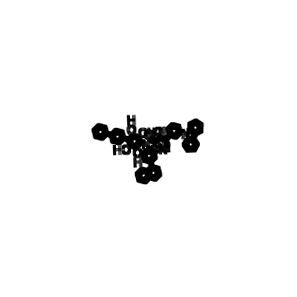 O=NC/C(=C(O)\C(O)=C(/O)N(c1ccc(-c2cccc3ccccc23)cc1)c1c(O)c(O)c(-c2ccc(-c3ccccc3)cc2)c(O)c1O)c1cccc(-n2c3ccccc3c3ccccc32)c1